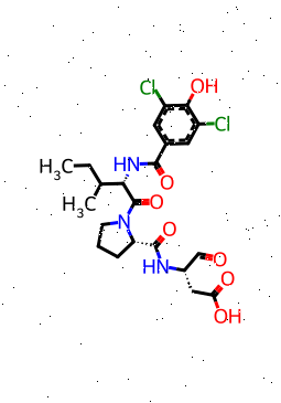 CCC(C)[C@H](NC(=O)c1cc(Cl)c(O)c(Cl)c1)C(=O)N1CCC[C@H]1C(=O)N[C@H](C=O)CC(=O)O